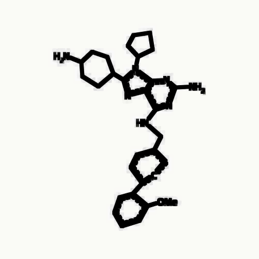 COc1ccccc1-c1ccc(CNc2nc(N)nc3c2nc(C2CCC(N)CC2)n3C2CCCC2)cc1